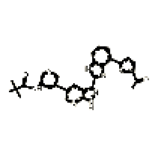 CC(=O)c1ccc(-c2cccc3[nH]c(-c4n[nH]c5ncc(-c6cncc(NC(=O)C(C)(C)C)c6)cc45)nc23)s1